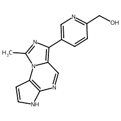 Cc1nc(-c2ccc(CO)nc2)c2cnc3[nH]ccc3n12